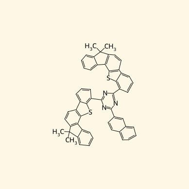 CC1(C)c2ccccc2-c2c1ccc1c2sc2c(-c3nc(-c4ccc5ccccc5c4)nc(-c4cccc5c4sc4c6c(ccc45)C(C)(C)c4ccccc4-6)n3)cccc21